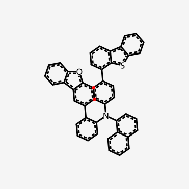 c1ccc(N(c2ccc(-c3cccc4c3sc3ccccc34)cc2)c2cccc3ccccc23)c(-c2ccc3oc4ccccc4c3c2)c1